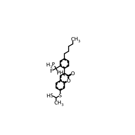 CCCCCc1ccc(-c2cc3ccc(SC(C)S)cc3oc2=O)c(C(F)(P)P)c1